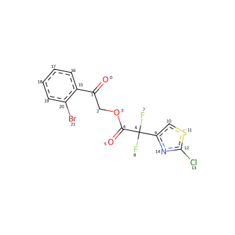 O=C(COC(=O)C(F)(F)c1csc(Cl)n1)c1ccccc1Br